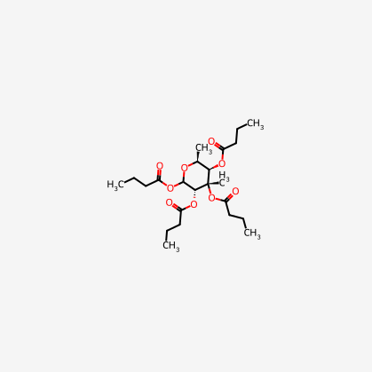 CCCC(=O)OC1O[C@@H](C)[C@@H](OC(=O)CCC)[C@](C)(OC(=O)CCC)[C@@H]1OC(=O)CCC